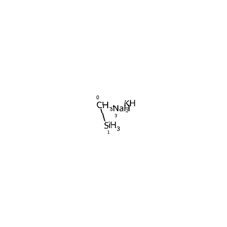 C[SiH3].[KH].[NaH]